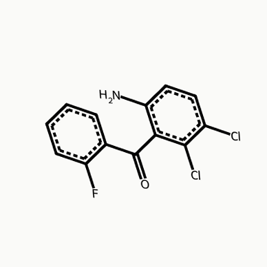 Nc1ccc(Cl)c(Cl)c1C(=O)c1ccccc1F